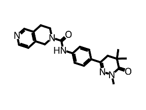 CN1N=C(c2ccc(NC(=O)N3CCc4cnccc4C3)cc2)CC(C)(C)C1=O